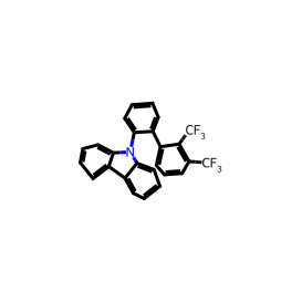 FC(F)(F)c1cccc(-c2ccccc2-n2c3ccccc3c3ccccc32)c1C(F)(F)F